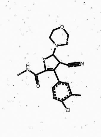 CNC(=O)C1=C(c2ccc(Cl)c(C)c2)C(C#N)C(N2CCOCC2)S1